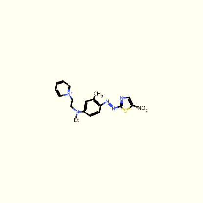 CCN(CC[n+]1ccccc1)c1ccc(N=Nc2ncc([N+](=O)[O-])s2)c(C)c1